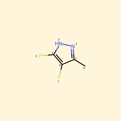 Cc1n[nH]c(F)c1F